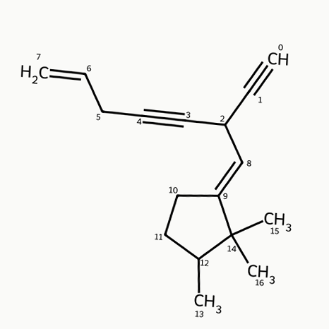 C#CC(C#CCC=C)C=C1CCC(C)C1(C)C